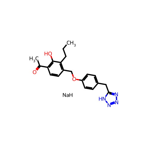 CCCc1c(COc2ccc(Cc3nnn[nH]3)cc2)ccc(C(C)=O)c1O.[NaH]